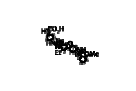 CCc1cc(-c2ccc(NS(=O)(=O)c3ccccc3OC)nc2OC)cc2cnc(N[C@H]3CC[C@H](NC(=O)O)CC3)nc12